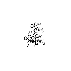 CC(C)CC(N)C(=O)O.CC(C)CC(N)C(=O)O.CC(C)CC(N)C(=O)O